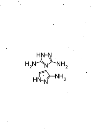 Nc1cc[nH]n1.Nc1n[nH]c(N)n1